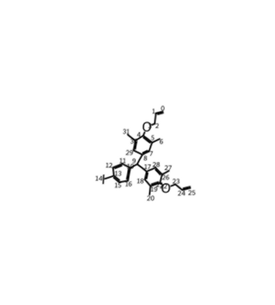 C=CCOc1c(C)cc(C(c2ccc(I)cc2)c2cc(C)c(OCC=C)c(C)c2)cc1C